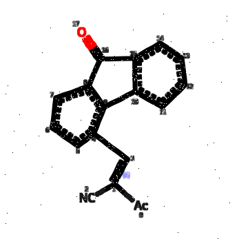 CC(=O)/C(C#N)=C/c1cccc2c1-c1ccccc1C2=O